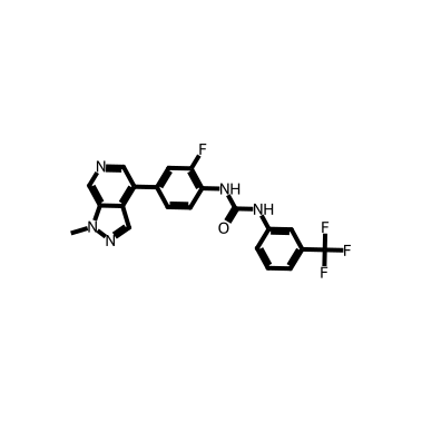 Cn1ncc2c(-c3ccc(NC(=O)Nc4cccc(C(F)(F)F)c4)c(F)c3)cncc21